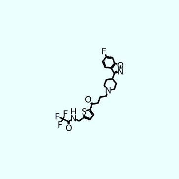 O=C(CCCN1CCC(c2noc3cc(F)ccc23)CC1)c1ccc(CNC(=O)C(F)(F)F)s1